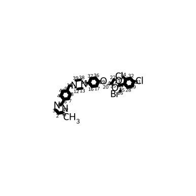 Cc1ccnc(-c2ccc(CN3CCN(c4ccc(OC[C@@H]5CO[C@@](CBr)(c6ccc(Cl)cc6Cl)O5)cc4)CC3)cc2)n1